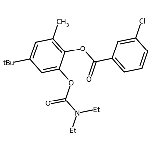 CCN(CC)C(=O)Oc1cc(C(C)(C)C)cc(C)c1OC(=O)c1cccc(Cl)c1